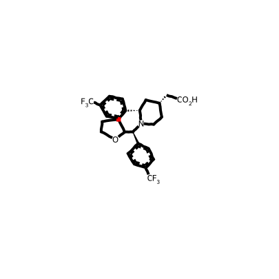 O=C(O)C[C@@H]1CCN([C@@H](c2ccc(C(F)(F)F)cc2)C2CCCO2)[C@H](c2ccc(C(F)(F)F)cc2)C1